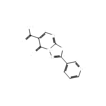 O=C(O)c1cnc2sc(-c3cccnc3)nn2c1=O